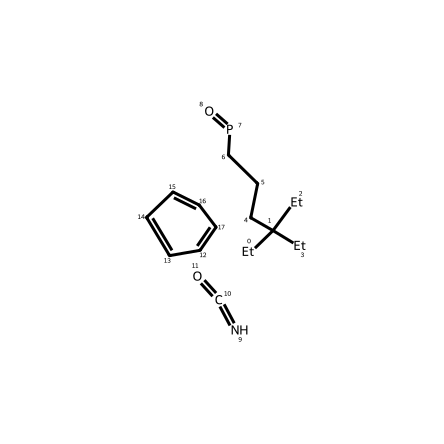 CCC(CC)(CC)CCCP=O.N=C=O.c1ccccc1